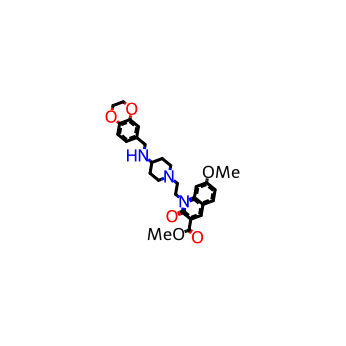 COC(=O)c1cc2ccc(OC)cc2n(CCN2CCC(NCc3ccc4c(c3)OCCO4)CC2)c1=O